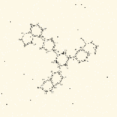 CC1CC=Cc2ccc(-c3nc(-c4ccc(-c5cccc6c5N=CCC6)cc4)nc(-c4ccc5ccccc5c4)n3)cc21